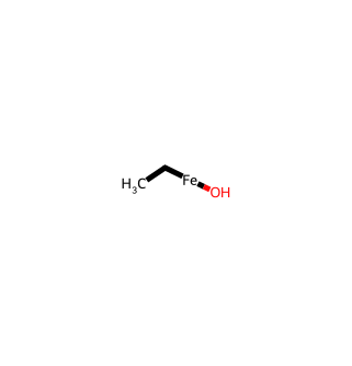 C[CH2][Fe][OH]